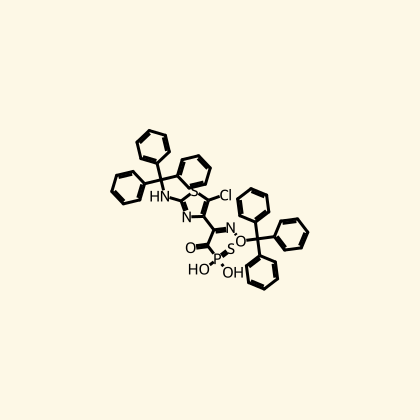 O=C(C(=NOC(c1ccccc1)(c1ccccc1)c1ccccc1)c1nc(NC(c2ccccc2)(c2ccccc2)c2ccccc2)sc1Cl)P(O)(O)=S